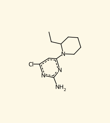 CCC1CCCCN1c1cc(Cl)nc(N)n1